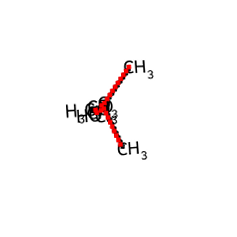 CCCCCCCCCCCCCCCCCCOP(=O)(Cc1cc(Cl)c(O)c(C(C)(C)C)c1)OCCCCCCCCCCCCCCCCCC